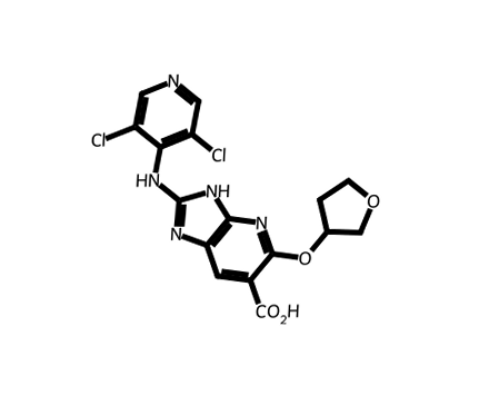 O=C(O)c1cc2nc(Nc3c(Cl)cncc3Cl)[nH]c2nc1OC1CCOC1